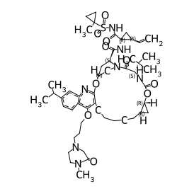 C=C[C@@H]1C[C@]1(NC(=O)[C@@H]1C[C@@H]2CN1C(=O)[C@H](C(C)(C)C)NC(=O)O[C@@H]1C[C@H]1CCCCCc1c(nc3cc(C(C)C)ccc3c1OCCCN1CCN(C)C(=O)C1)O2)C(=O)NS(=O)(=O)C1(C)CC1